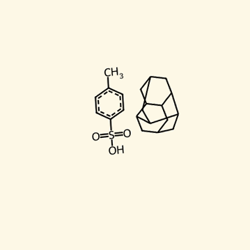 C1C2CC3C4CC5CC(C14)C(C2)C3C5.Cc1ccc(S(=O)(=O)O)cc1